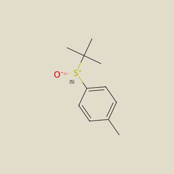 Cc1ccc([S@+]([O-])C(C)(C)C)cc1